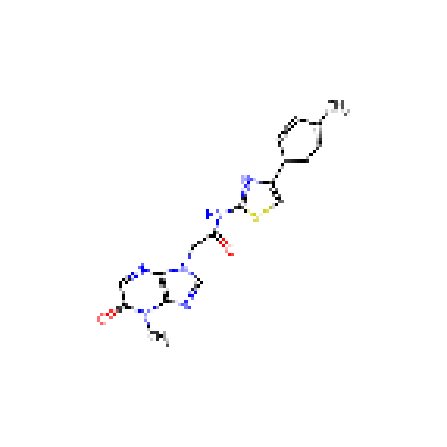 CC1=CCC(c2csc(NC(=O)Cn3cnc4c3ncc(=O)n4C)n2)C=C1